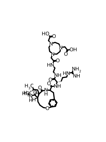 CC(C)C[C@H]1C(=O)NC(C(=O)N[C@@H](CCCNC(=N)N)C(=O)NCCNC(=O)CN2CCN(CC(=O)O)CCN(CC(=O)O)CC2)Cc2ccc(cc2)OCCC[C@@H]1C(=O)NO